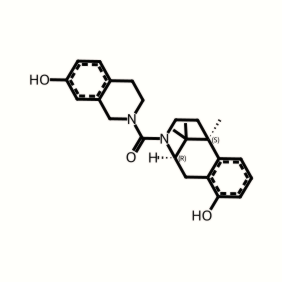 CC1(C)[C@H]2Cc3c(O)cccc3[C@]1(C)CCN2C(=O)N1CCc2ccc(O)cc2C1